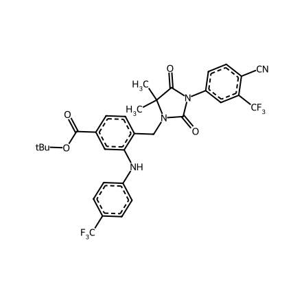 CC(C)(C)OC(=O)c1ccc(CN2C(=O)N(c3ccc(C#N)c(C(F)(F)F)c3)C(=O)C2(C)C)c(Nc2ccc(C(F)(F)F)cc2)c1